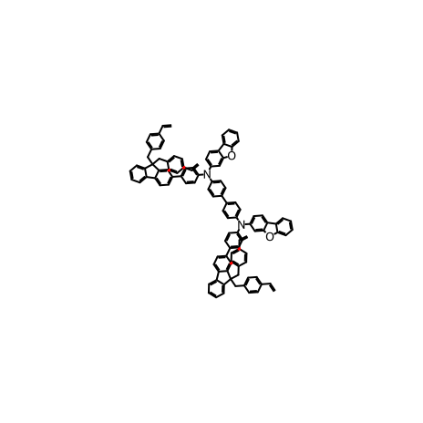 C=Cc1ccc(CC2(Cc3ccc(C=C)cc3)c3ccccc3-c3ccc(-c4ccc(N(c5ccc(-c6ccc(N(c7ccc(-c8ccc9c(c8)C(Cc8ccc(C=C)cc8)(Cc8ccc(C=C)cc8)c8ccccc8-9)cc7)c7ccc8c(c7)oc7ccccc78)cc6)cc5)c5ccc6c(c5)oc5ccccc56)cc4)cc32)cc1